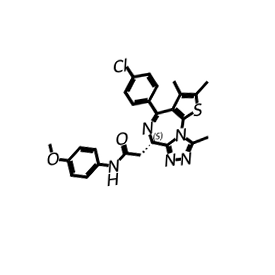 COc1ccc(NC(=O)C[C@@H]2N=C(c3ccc(Cl)cc3)c3c(sc(C)c3C)-n3c(C)nnc32)cc1